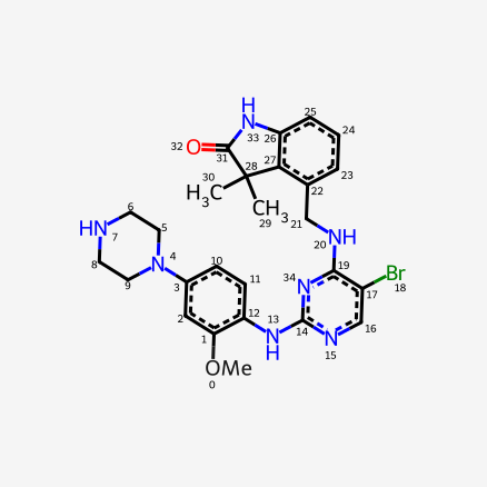 COc1cc(N2CCNCC2)ccc1Nc1ncc(Br)c(NCc2cccc3c2C(C)(C)C(=O)N3)n1